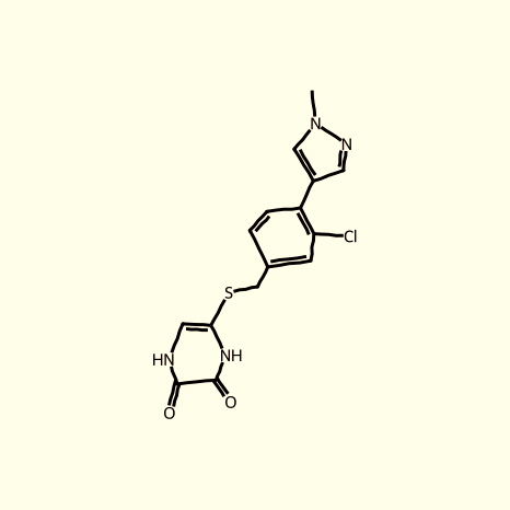 Cn1cc(-c2ccc(CSc3c[nH]c(=O)c(=O)[nH]3)cc2Cl)cn1